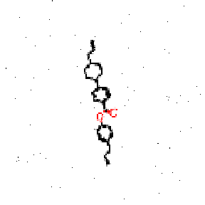 C=CCc1ccc(OC(=O)c2ccc(C3CCC(CC=C)CC3)cc2)cc1